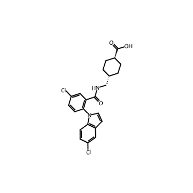 O=C(NC[C@H]1CC[C@H](C(=O)O)CC1)c1cc(Cl)ccc1-n1ccc2cc(Cl)ccc21